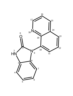 O=c1[nH]c2ccccc2n1-c1cccc2cccnc12